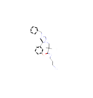 CC(C)([CH]N1CN(Cc2ccccc2)C=C1c1cc(F)ccc1F)C(=O)NCCCN